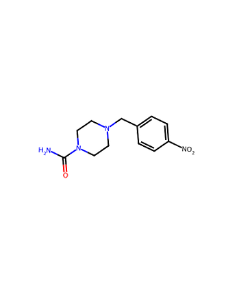 NC(=O)N1CCN(Cc2ccc([N+](=O)[O-])cc2)CC1